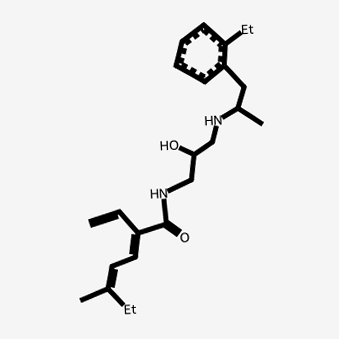 C=C/C(=C\C=C(\C)CC)C(=O)NCC(O)CNC(C)Cc1ccccc1CC